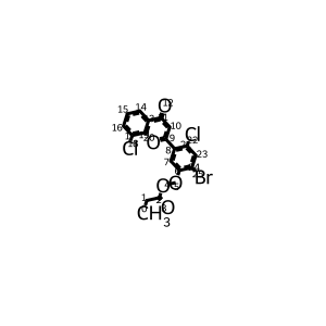 CCC(=O)OOc1cc(-c2cc(=O)c3cccc(Cl)c3o2)c(Cl)cc1Br